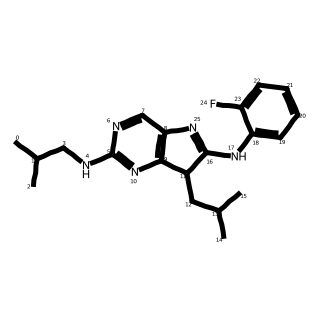 CC(C)CNc1ncc2c(n1)C(CC(C)C)C(Nc1ccccc1F)=N2